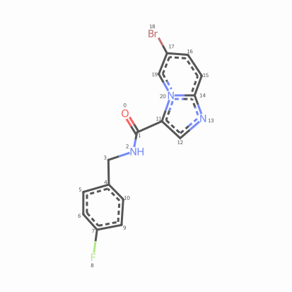 O=C(NCc1ccc(F)cc1)c1cnc2ccc(Br)cn12